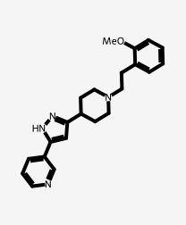 COc1ccccc1CCN1CCC(c2cc(-c3cccnc3)[nH]n2)CC1